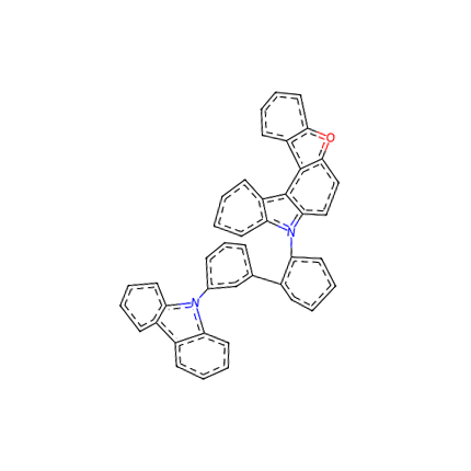 c1cc(-c2ccccc2-n2c3ccccc3c3c4c(ccc32)oc2ccccc24)cc(-n2c3ccccc3c3ccccc32)c1